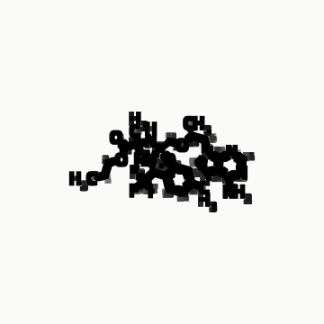 CCCOC(=O)C(C)(C)N[P@@](=O)(CO[C@H](C)Cn1cnc2c(N)ncnc21)N[C@H](c1ccc(C)cc1)C(F)(F)F